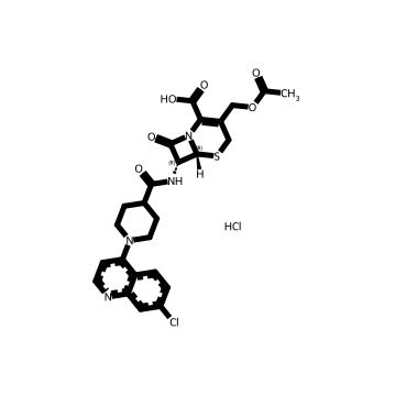 CC(=O)OCC1=C(C(=O)O)N2C(=O)[C@@H](NC(=O)C3CCN(c4ccnc5cc(Cl)ccc45)CC3)[C@H]2SC1.Cl